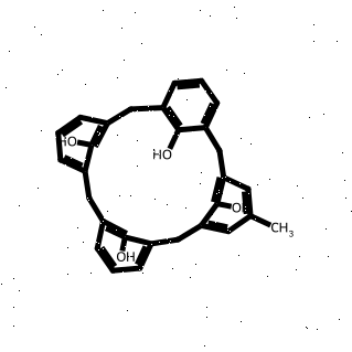 Cc1cc2c(O)c(c1)Cc1cccc(c1O)Cc1cccc(c1O)Cc1cccc(c1O)C2